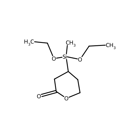 CCO[Si](C)(OCC)C1CCOC(=O)C1